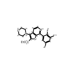 CCOC(=O)c1sc2c(-c3cc(F)cc(F)c3F)nccc2c1N1CCOCC1